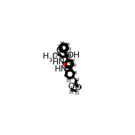 CC(C)[C@@H](NC(=O)N[C@H]1CC[C@H](CC2OCCO2)CC1)C(O)(c1ccccc1)c1ccccc1